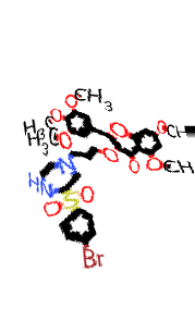 COc1cc(OC)c2c(=O)c(OCCCN3CCNC(S(=O)(=O)c4ccc(Br)cc4)C3)c(-c3cc(OC)c(OC)c(OC)c3)oc2c1